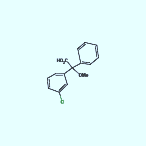 COC(C(=O)O)(c1ccccc1)c1cccc(Cl)c1